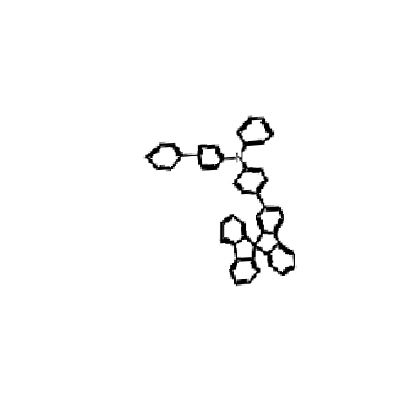 c1ccc(-c2ccc(N(c3ccccc3)c3ccc(-c4ccc5c(c4)C4(c6ccccc6-c6ccccc64)c4ccccc4-5)cc3)cc2)cc1